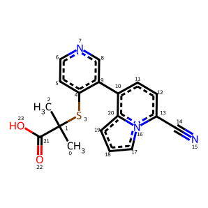 CC(C)(Sc1ccncc1-c1ccc(C#N)n2cccc12)C(=O)O